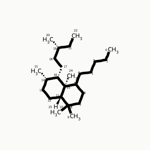 CCCCCC1CCC(C)(C)[C@@H]2CC[C@H](C)[C@H](CC[C@H](C)CC)[C@@]12C